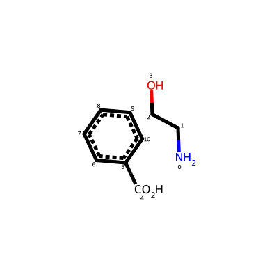 NCCO.O=C(O)c1ccccc1